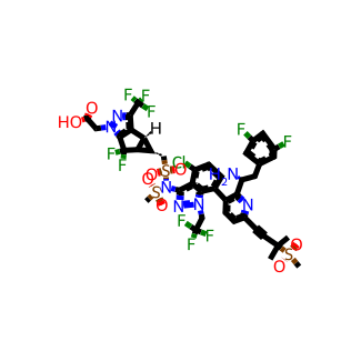 CC(C)(C#Cc1ccc(-c2ccc(Cl)c3c(N(S(C)(=O)=O)S(=O)(=O)C[C@@H]4C5[C@H]4c4c(C(F)(F)F)nn(CC(=O)O)c4C5(F)F)nn(CC(F)(F)F)c23)c([C@@H](N)Cc2cc(F)cc(F)c2)n1)S(C)(=O)=O